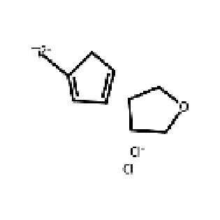 C1CCOC1.[Cl-].[Cl-].[Ti+2][C]1=CC=CC1